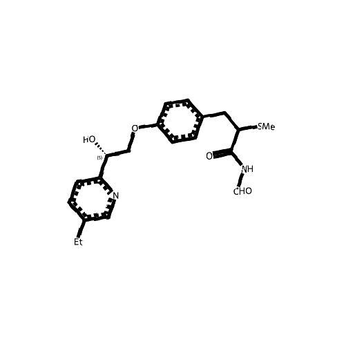 CCc1ccc([C@H](O)COc2ccc(CC(SC)C(=O)NC=O)cc2)nc1